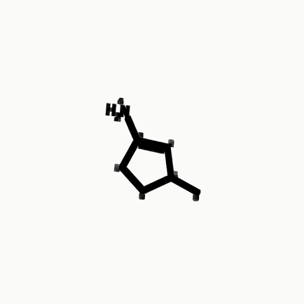 CC1C=C(N)CC1